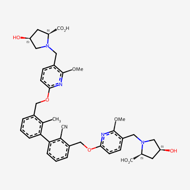 COc1nc(OCc2cccc(-c3cccc(COc4ccc(CN5C[C@@H](O)C[C@H]5C(=O)O)c(OC)n4)c3C#N)c2C)ccc1CN1C[C@@H](O)C[C@H]1C(=O)O